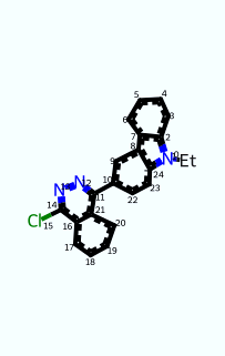 CCn1c2ccccc2c2cc(-c3nnc(Cl)c4ccccc34)ccc21